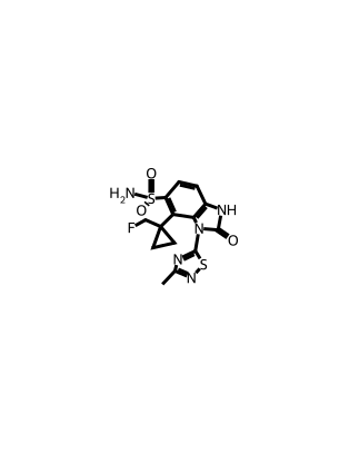 Cc1nsc(-n2c(=O)[nH]c3ccc(S(N)(=O)=O)c(C4(CF)CC4)c32)n1